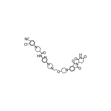 N#Cc1ccc(N2CCC(C(=O)Nc3ccc(N4CCN(CCOC5CCN(c6ccc7c(c6)C(=O)N(C6CCC(=O)NC6=O)C7=O)CC5)CC4)cn3)CC2)cc1Cl